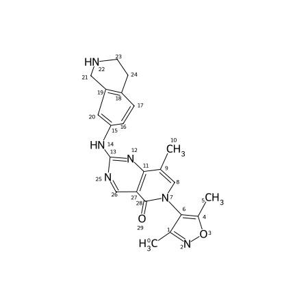 Cc1noc(C)c1-n1cc(C)c2nc(Nc3ccc4c(c3)CNCC4)ncc2c1=O